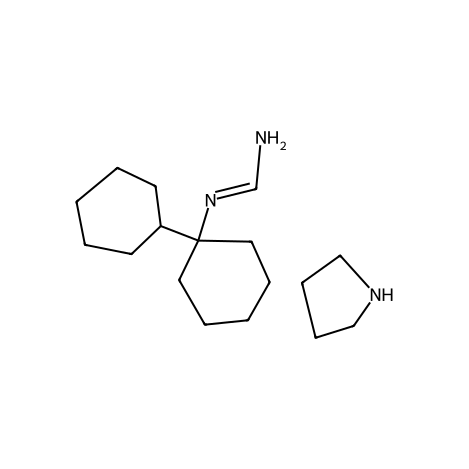 C1CCNC1.NC=NC1(C2CCCCC2)CCCCC1